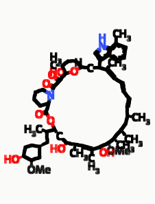 CO[C@H]1[C@@H](C)[C@H](C)C[C@H](C)/C=C/C=C/C=C(\C)C(c2c[nH]c3c(C)cccc23)C[C@@H]2CC[C@@H](C)[C@@](O)(O2)C(=O)C(=O)N2CCCCC2C(=O)O[C@H]([C@H](C)C[C@@H]2CC[C@@H](O)[C@H](OC)C2)C[C@H](O)[C@H](C)/C=C(\C)[C@H]1O